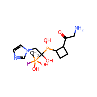 CP(O)(O)(I)C(O)(Cn1ccnc1)[P@](O)C1CCC1C(=O)CN